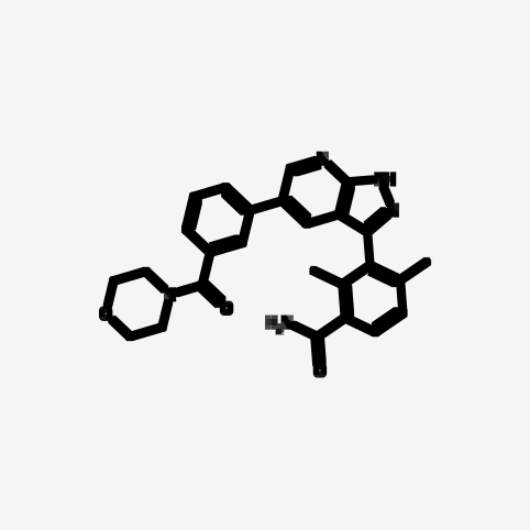 Cc1ccc(C(N)=O)c(C)c1-c1n[nH]c2ncc(-c3cccc(C(=O)N4CCOCC4)c3)cc12